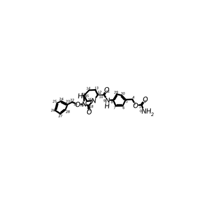 NC(=O)OCc1ccc(NC(=O)[C@@H]2CC[C@@H]3CN2C(=O)N3OCc2ccccc2)cc1